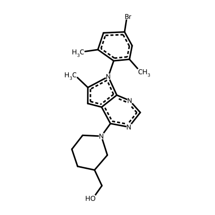 Cc1cc(Br)cc(C)c1-n1c(C)cc2c(N3CCCC(CO)C3)ncnc21